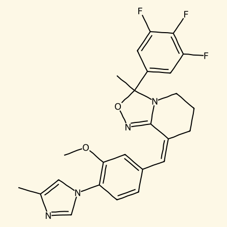 COc1cc(/C=C2/CCCN3C2=NOC3(C)c2cc(F)c(F)c(F)c2)ccc1-n1cnc(C)c1